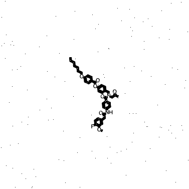 CCCCCCCOc1ccc(C(=O)Oc2ccc(CN(CC(C)=O)C(=O)c3ccc(NC(=O)Cc4ccc(F)c(OC)c4)cc3)cc2)cc1